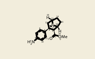 COC(=O)[C@H]1[C@@H](c2ccc(N)cc2)C[C@@H]2CC[C@H]1N2C